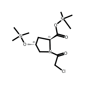 C[Si](C)(C)OC(=O)[C@@H]1C[C@@H](O[Si](C)(C)C)CN1C(=O)CCl